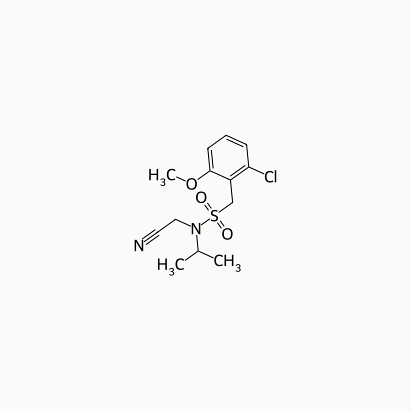 COc1cccc(Cl)c1CS(=O)(=O)N(CC#N)C(C)C